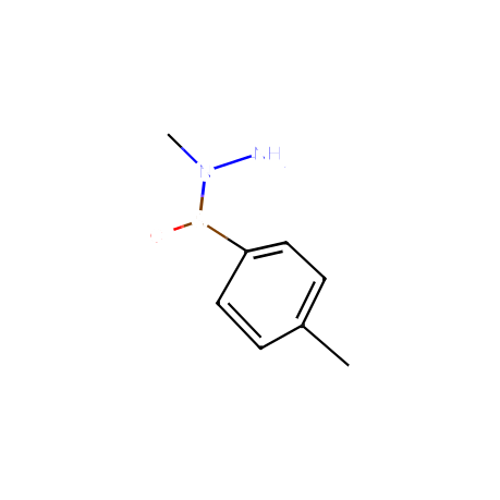 Cc1ccc([S+]([O-])N(C)N)cc1